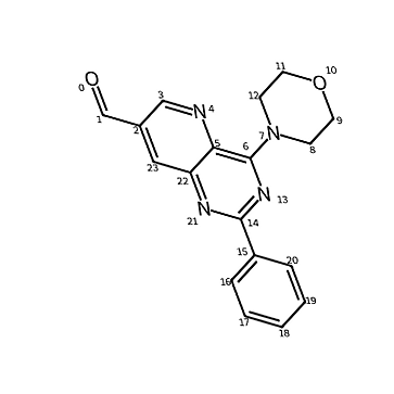 O=Cc1cnc2c(N3CCOCC3)nc(-c3ccccc3)nc2c1